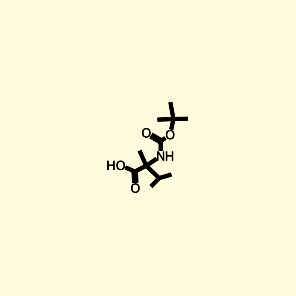 CC(C)C(C)(NC(=O)OC(C)(C)C)C(=O)O